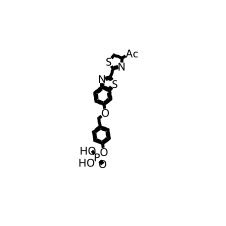 CC(=O)C1CSC(c2nc3ccc(OCc4ccc(OP(=O)(O)O)cc4)cc3s2)=N1